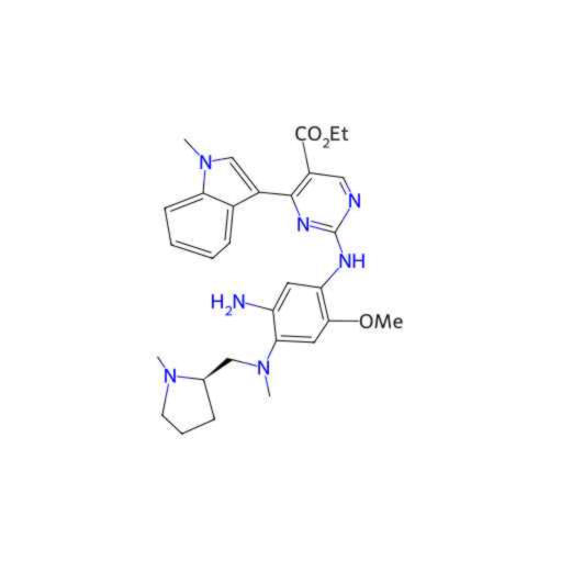 CCOC(=O)c1cnc(Nc2cc(N)c(N(C)C[C@H]3CCCN3C)cc2OC)nc1-c1cn(C)c2ccccc12